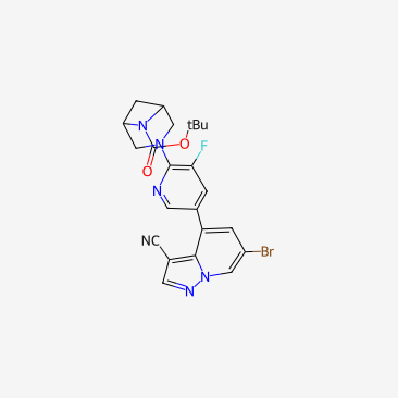 CC(C)(C)OC(=O)N1C2CC1CN(c1ncc(-c3cc(Br)cn4ncc(C#N)c34)cc1F)C2